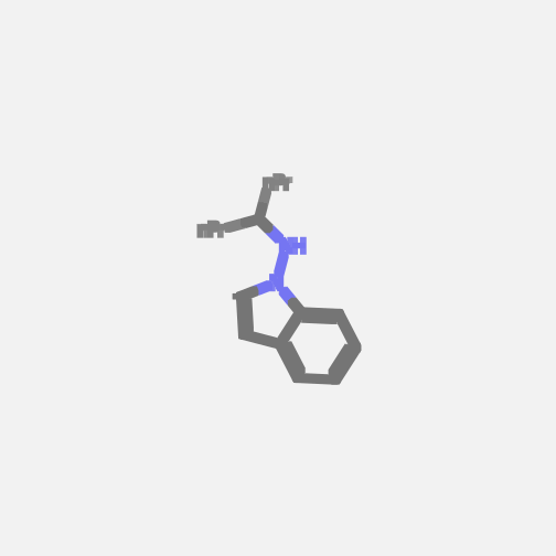 CCCC(CCC)Nn1[c]cc2ccccc21